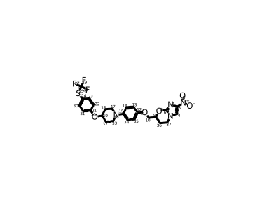 O=[N+]([O-])c1cn2c(n1)OC(COc1ccc(N3CCC(Oc4ccc(SC(F)(F)F)cc4)CC3)cc1)CC2